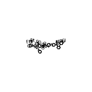 CCN(CC)C[C@H]1COCCN1CC[C@H](CSc1ccccc1)Nc1ccc(S(=O)(=O)NC(=O)c2ccc(N3CCC([C@@H](O[Si](C)(C)C(C)(C)C)c4ccccc4-c4ccc(Cl)cc4)CC3)cc2)cc1S(=O)(=O)C(F)(F)F